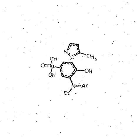 CCN(C(C)=O)c1cc([As](=O)(O)O)ccc1O.Cc1ccno1